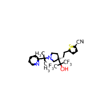 CC(C)(c1ccccn1)N1CC[C@@](CCc2ccc(C#N)s2)(C(O)(C(F)(F)F)C(F)(F)F)C1